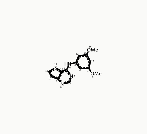 COc1cc(Nc2ncnc3ccsc23)cc(OC)c1